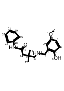 COc1ccc(O)c(CNCC(C)(C)CC(=O)Nc2ccccc2)c1